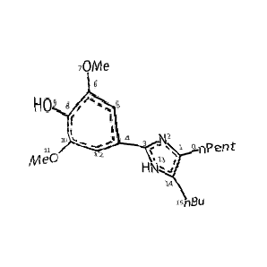 CCCCCc1nc(-c2cc(OC)c(O)c(OC)c2)[nH]c1CCCC